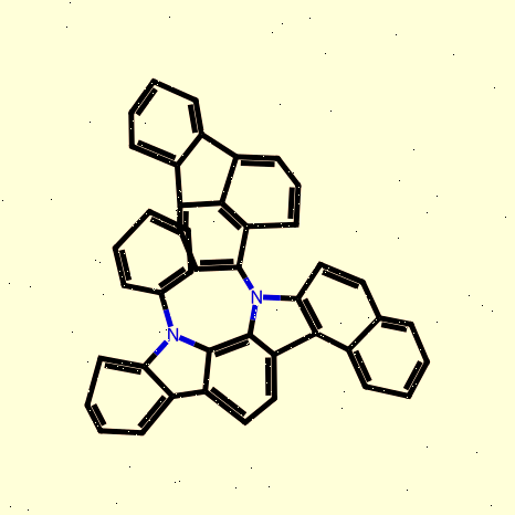 c1ccc(-n2c3ccccc3c3ccc4c5c6ccccc6ccc5n(-c5ccc6c7c(cccc57)-c5ccccc5-6)c4c32)cc1